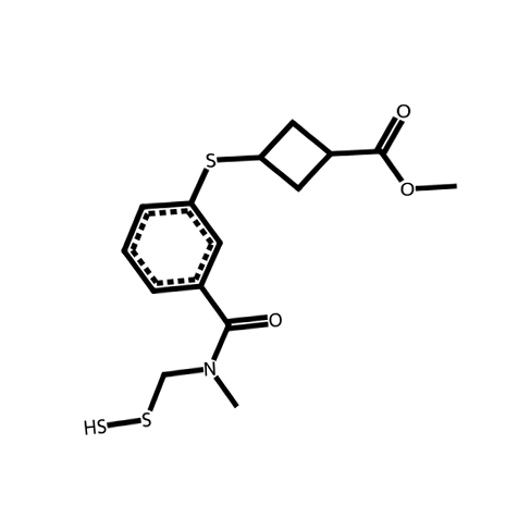 COC(=O)C1CC(Sc2cccc(C(=O)N(C)CSS)c2)C1